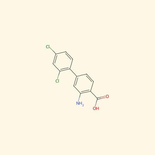 Nc1cc(-c2ccc(Cl)cc2Cl)ccc1C(=O)O